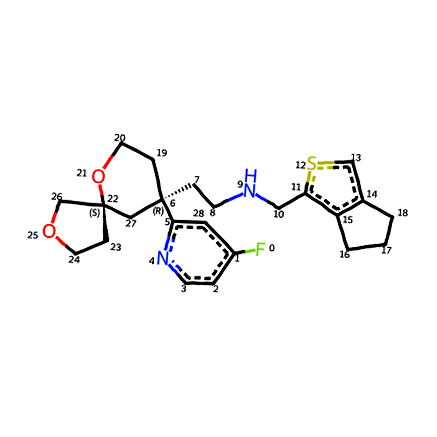 Fc1ccnc([C@]2(CCNCc3scc4c3CCC4)CCO[C@]3(CCOC3)C2)c1